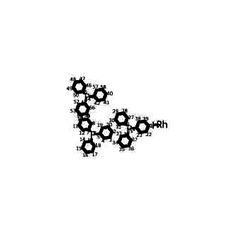 [Rh][I].c1ccc(P(c2ccccc2)c2ccccc2)cc1.c1ccc(P(c2ccccc2)c2ccccc2)cc1.c1ccc(P(c2ccccc2)c2ccccc2)cc1